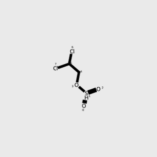 O=[SH](=O)OCC(Cl)Cl